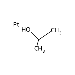 CC(C)O.[Pt]